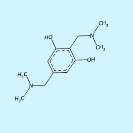 CN(C)Cc1cc(O)c(CN(C)C)c(O)c1